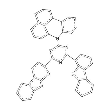 c1ccc2c(c1)-c1cccc3cccc(c13)N2c1nc(-c2ccc3c(c2)sc2ccccc23)nc(-c2cccc3c2sc2ccccc23)n1